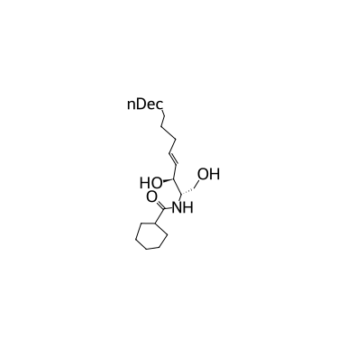 CCCCCCCCCCCCC/C=C/[C@H](O)[C@H](CO)NC(=O)C1CCCCC1